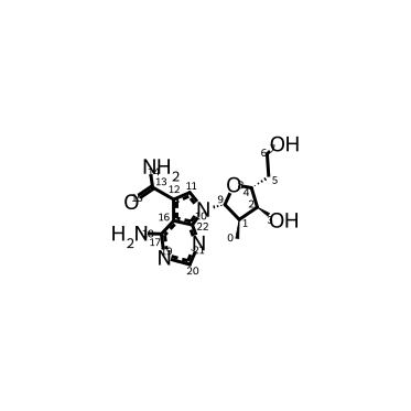 C[C@@H]1[C@H](O)[C@@H](CCO)O[C@H]1n1cc(C(N)=O)c2c(N)ncnc21